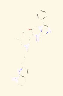 CO[C@H](C)CN(CCCCc1ccc2c(n1)NCCC2)CC[C@H](Nc1cncc(-c2ccccc2)n1)C(=O)O